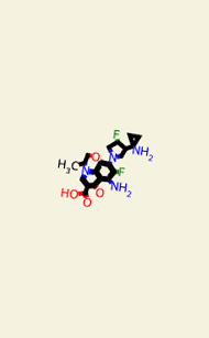 CC1COc2c(N3CC(F)C(C4(N)CC4)C3)c(F)c(N)c3c(=O)c(C(=O)O)cn1c23